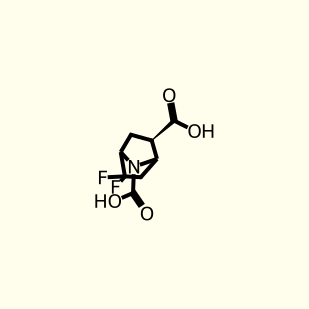 O=C(O)[C@@H]1CC2N(C(=O)O)C1CC2(F)F